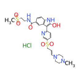 CN1CCN(C=CCS(=O)(=O)c2ccc(-c3c(O)[nH]c4ccc(C(=O)NCCS(C)(=O)=O)cc34)nc2)CC1.Cl